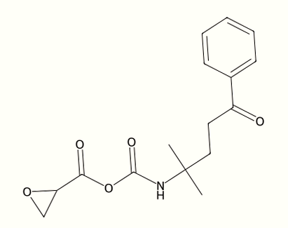 CC(C)(CCC(=O)c1ccccc1)NC(=O)OC(=O)C1CO1